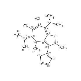 CC1=[C]C2=C(C(C)C)C(Cl)=C(Cl)C(=[Si](C)C)C(C)C2=C1C1=CC=CC1